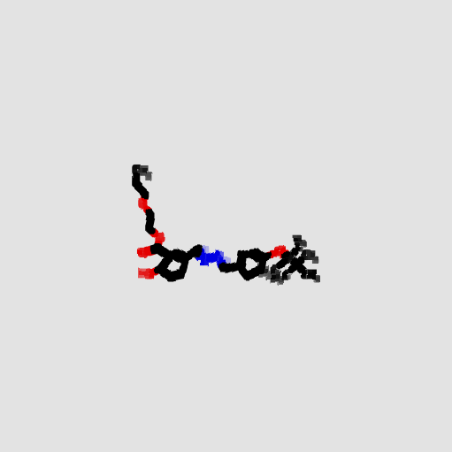 CCCOCCOC(=O)c1cc(/C=N/N=C/c2ccc(O[Si](C)(C)C(C)(C)C)cc2)ccc1O